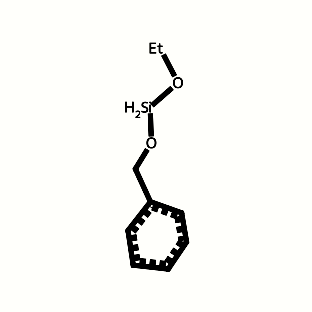 CCO[SiH2]OCc1ccccc1